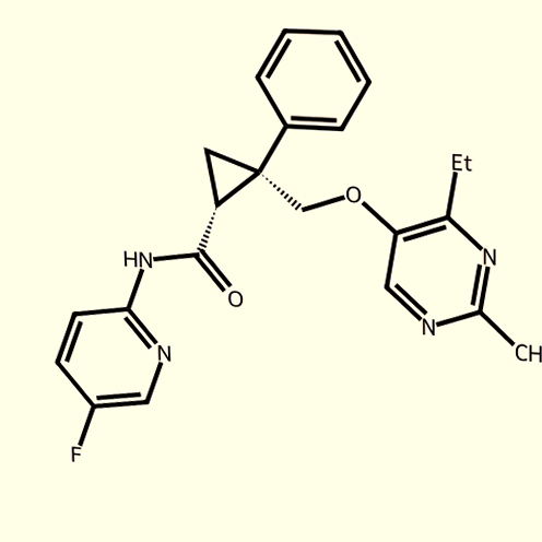 CCc1nc(C)ncc1OC[C@@]1(c2ccccc2)C[C@H]1C(=O)Nc1ccc(F)cn1